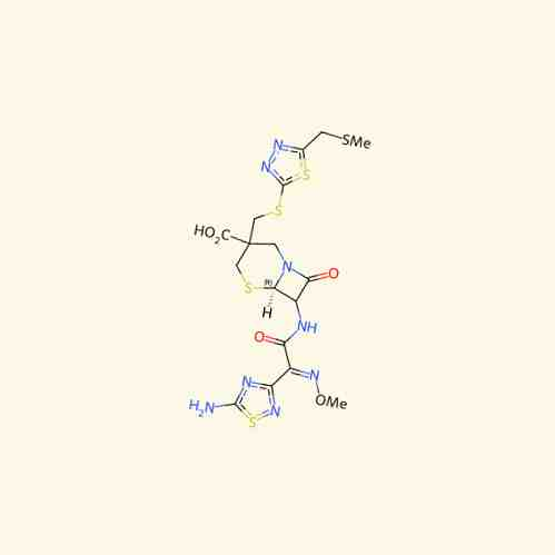 CON=C(C(=O)NC1C(=O)N2CC(CSc3nnc(CSC)s3)(C(=O)O)CS[C@H]12)c1nsc(N)n1